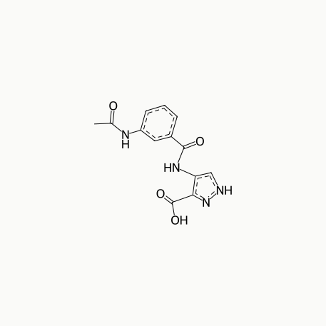 CC(=O)Nc1cccc(C(=O)Nc2c[nH]nc2C(=O)O)c1